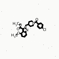 COC(=O)c1c2c(OC)cccc2nn1CC1CCN(C(=O)c2ccc(Cl)cc2)CC1